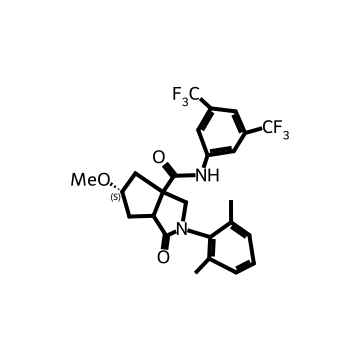 CO[C@H]1CC2C(=O)N(c3c(C)cccc3C)CC2(C(=O)Nc2cc(C(F)(F)F)cc(C(F)(F)F)c2)C1